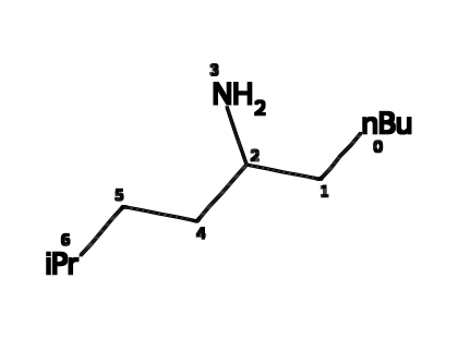 CCCCCC(N)CCC(C)C